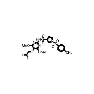 COc1nc(NS(=O)(=O)c2ccn(S(=O)(=O)c3ccc(C)cc3)c2)nc(OC)c1OCC(F)F